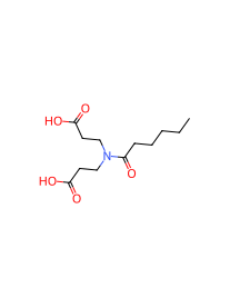 CCCCCC(=O)N(CCC(=O)O)CCC(=O)O